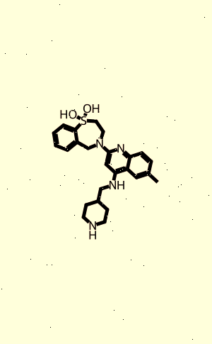 Cc1ccc2nc(N3CCS(O)(O)c4ccccc4C3)cc(NCC3CCNCC3)c2c1